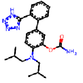 CC(C)CN(CC(C)C)c1ccc(-c2ccccc2-c2nnn[nH]2)cc1OC(N)=O